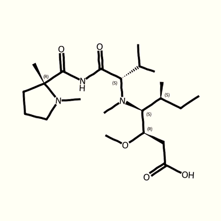 CC[C@H](C)[C@@H]([C@@H](CC(=O)O)OC)N(C)[C@H](C(=O)NC(=O)[C@@]1(C)CCCN1C)C(C)C